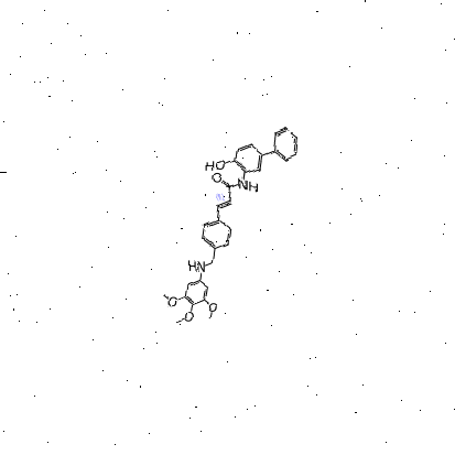 COc1cc(NCc2ccc(/C=C/C(=O)Nc3cc(-c4ccccc4)ccc3O)cc2)cc(OC)c1OC